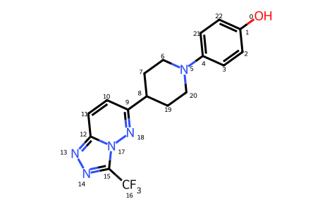 Oc1ccc(N2CCC(c3ccc4nnc(C(F)(F)F)n4n3)CC2)cc1